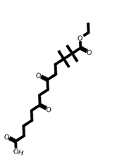 CCOC(=O)C(C)(C)C(C)(C)CCC(=O)CCC(=O)CCCCC(=O)O